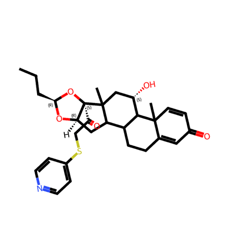 CCC[C@@H]1O[C@@H]2CC3C4CCC5=CC(=O)C=CC5(C)C4[C@@H](O)CC3(C)[C@]2(C(=O)CSc2ccncc2)O1